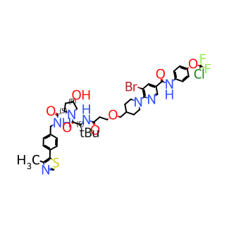 Cc1ncsc1-c1ccc(CNC(=O)[C@@H]2C[C@@H](O)CN2C(=O)[C@@H](NC(=O)CCOCC2CCN(c3ncc(C(=O)Nc4ccc(OC(F)(F)Cl)cc4)cc3Br)CC2)C(C)(C)C)cc1